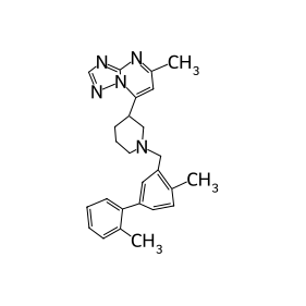 Cc1cc(C2CCCN(Cc3cc(-c4ccccc4C)ccc3C)C2)n2ncnc2n1